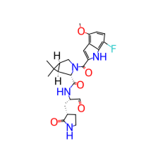 COc1ccc(F)c2[nH]c(C(=O)N3C[C@H]4[C@@H]([C@H]3C(=O)N[C@H](C=O)C[C@@H]3CCNC3=O)C4(C)C)cc12